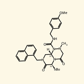 CCCC[C@H]1C(=O)N(Cc2cccc3ccccc23)C[C@H]2N1C(=O)CN(C)N2C(=O)NCc1ccc(OC)cc1